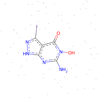 Nc1nc2[nH]nc(I)c2c(=O)n1O